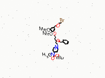 COc1cc(COCCBr)cc(OCCCC(CCN2CCC(N(C)C(=O)OC(C)(C)C)CC2)OCc2ccccc2)c1OC